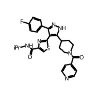 CC(C)NC(=O)c1csc(-c2c(-c3ccc(F)cc3)n[nH]c2C2CCN(C(=O)c3ccncc3)CC2)n1